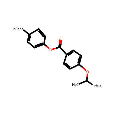 CCCCCCC(C)Oc1ccc(C(=O)Oc2ccc(CCCCC)cc2)cc1